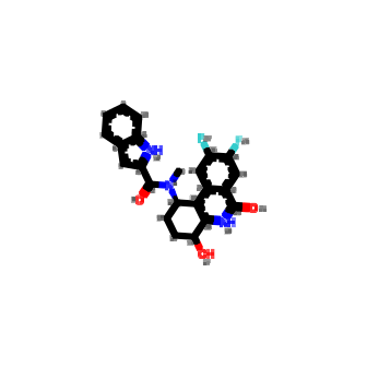 CN(C(=O)c1cc2ccccc2[nH]1)[C@@H]1CCC(O)c2[nH]c(=O)c3cc(F)c(F)cc3c21